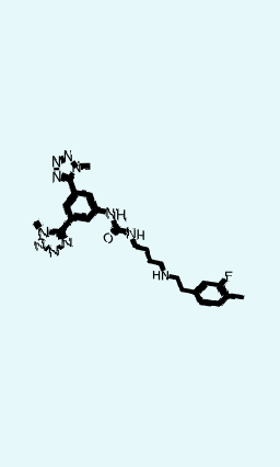 Cc1ccc(CCNCCCCNC(=O)Nc2cc(-c3nnnn3C)cc(-c3nnnn3C)c2)cc1F